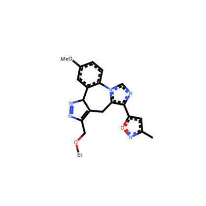 CCOCC1=C2Cc3c(-c4cc(C)no4)ncn3-c3ccc(OC)cc3C2N=N1